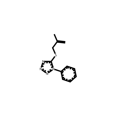 C=C(C)CSc1nnnn1-c1ccccc1